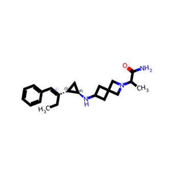 CC/C(=C\c1ccccc1)[C@@H]1C[C@H]1NC1CC2(C1)CN(C(C)C(N)=O)C2